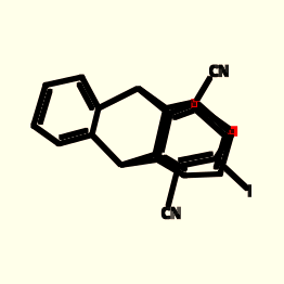 N#Cc1cccc2c1C1c3ccccc3C2c2c1ccc(I)c2C#N